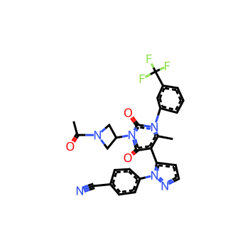 CC(=O)N1CC(n2c(=O)c(-c3ccnn3-c3ccc(C#N)cc3)c(C)n(-c3cccc(C(F)(F)F)c3)c2=O)C1